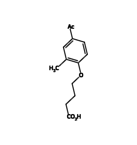 CC(=O)c1ccc(OCCCC(=O)O)c(C)c1